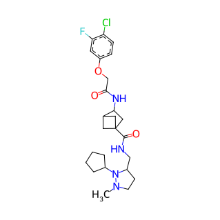 CN1CCC(CNC(=O)C23CC(C2)C(NC(=O)COc2ccc(Cl)c(F)c2)C3)N1C1CCCC1